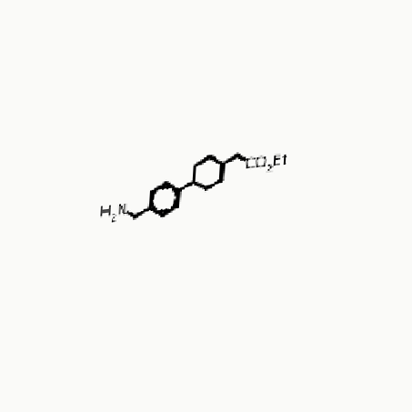 CCOC(=O)CC1CCC(c2ccc(CN)cc2)CC1